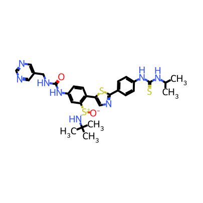 CC(C)NC(=S)Nc1ccc(-c2ncc(-c3ccc(NC(=O)NCc4cncnc4)cc3[S+]([O-])NC(C)(C)C)s2)cc1